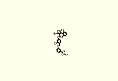 COC(=O)c1cccc(OCc2ccc(OCc3c(-c4c(Cl)cccc4Cl)noc3C(C)C)cc2Cl)c1